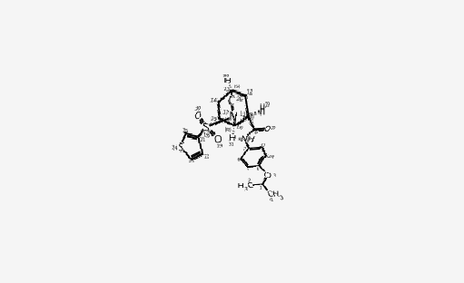 CC(C)Oc1ccc(NC(=O)[C@@H]2C[C@@H]3CC[C@H]2N(S(=O)(=O)c2ccsc2)C3)cc1